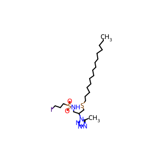 CCCCCCCCCCCCCCCCSCC(CNS(=O)(=O)CCCI)n1nnnc1C